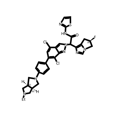 CCN1C[C@@H]2CN(c3ccc(-c4cc(Cl)c5cn(C(C(=O)Nc6nccs6)c6ncn7c6C[C@@H](F)C7)nc5c4Cl)cc3)C[C@@H]2C1